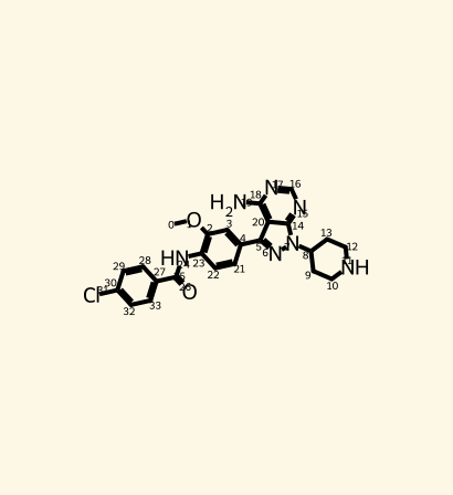 COc1cc(-c2nn(C3CCNCC3)c3ncnc(N)c23)ccc1NC(=O)c1ccc(Cl)cc1